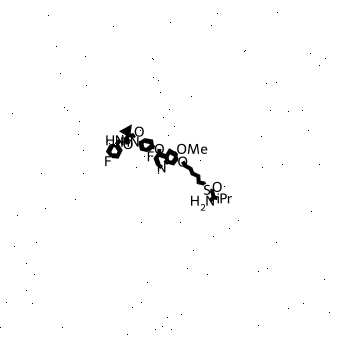 COc1cc2c(Oc3ccc(NC(=O)C4(C(=O)Nc5ccc(F)cc5)CC4)cc3F)ccnc2cc1OCCCCCCSC(=O)C(N)C(C)C